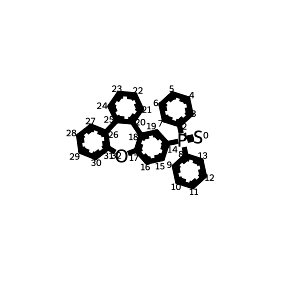 S=P(c1ccccc1)(c1ccccc1)c1ccc2c(c1)-c1ccccc1-c1ccccc1O2